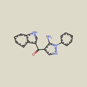 Nc1c(C(=O)c2c[nH]c3ccccc23)cnn1-c1ccccc1